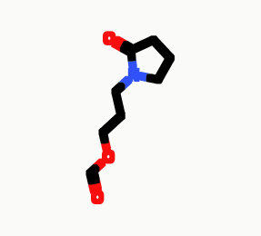 O=COCCCN1CCCC1=O